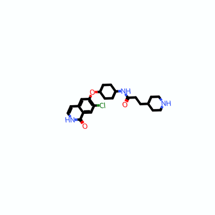 O=C(CCC1CCNCC1)NC1CCC(Oc2cc3cc[nH]c(=O)c3cc2Cl)CC1